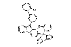 c1ccc2c(c1)Oc1c(ccc3c4ccccc4n(-c4ccc5oc6ccccc6c5c4)c13)C21c2ccccc2-c2ccccc21